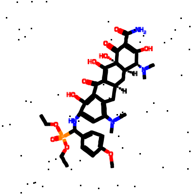 CCOP(=O)(OCC)C(Nc1cc(N(C)C)c2c(c1O)C(=O)C1=C(O)[C@@]3(O)C(=O)C(C(N)=O)=C(O)[C@H](N(C)C)[C@H]3C[C@H]1C2)c1ccc(OC)cc1